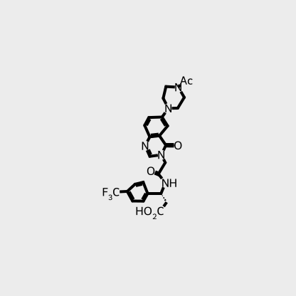 CC(=O)N1CCN(c2ccc3ncn(CC(=O)N[C@H](CC(=O)O)c4ccc(C(F)(F)F)cc4)c(=O)c3c2)CC1